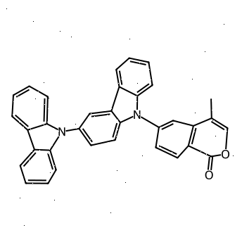 Cc1coc(=O)c2ccc(-n3c4ccccc4c4cc(-n5c6ccccc6c6ccccc65)ccc43)cc12